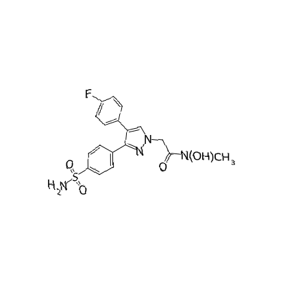 CN(O)C(=O)Cn1cc(-c2ccc(F)cc2)c(-c2ccc(S(N)(=O)=O)cc2)n1